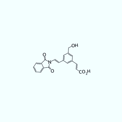 O=C(O)C=Cc1cc(C=CN2C(=O)c3ccccc3C2=O)cc(CO)c1